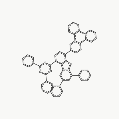 c1ccc(-c2cc(-c3ccccc3)c3oc4c(-c5ccc6c7ccccc7c7ccccc7c6c5)ccc(-c5nc(-c6ccccc6)nc(-c6ccccc6)n5)c4c3c2)cc1